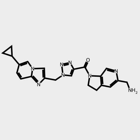 NCc1cc2c(cn1)N(C(=O)c1cn(Cc3cn4cc(C5CC5)ccc4n3)nn1)CC2